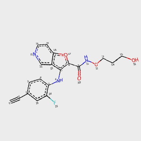 C#Cc1ccc(Nc2c(C(=O)NOCCCO)oc3ccncc23)c(F)c1